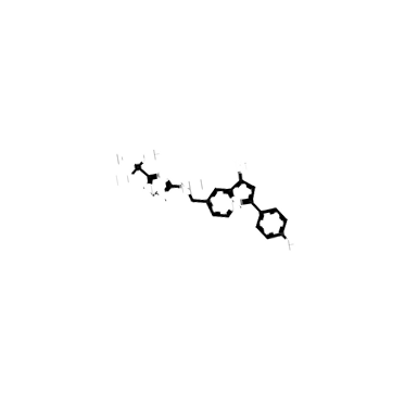 CCC(O)(c1nnc(NCc2ccn3c(-c4ccc(F)cc4)cc(Br)c3c2)o1)C(F)(F)F